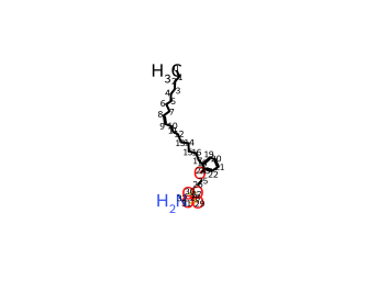 CCCCCCCC/C=C\CCCCCCCCc1ccccc1OCCOS(=O)(=O)ON